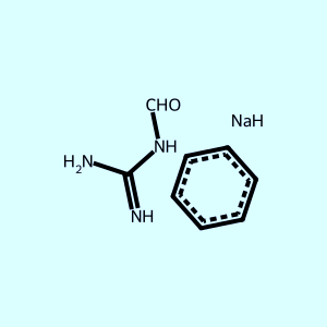 N=C(N)NC=O.[NaH].c1ccccc1